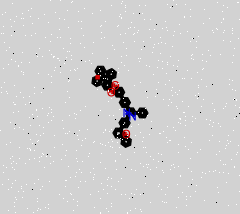 C1=C(c2ccc(-c3nc(-c4ccccc4)cc(-c4ccc(-c5ccc6c(c5)Oc5ccc7c(c5O6)-c5ccccc5C7(c5ccccc5)c5ccccc5)cc4)n3)cc2)c2oc3ccccc3c2CC1